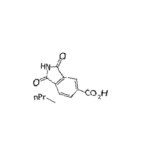 CCCC.O=C(O)c1ccc2c(c1)C(=O)NC2=O